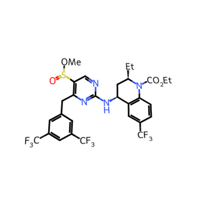 CCOC(=O)N1c2ccc(C(F)(F)F)cc2[C@@H](Nc2ncc(S(=O)OC)c(Cc3cc(C(F)(F)F)cc(C(F)(F)F)c3)n2)C[C@H]1CC